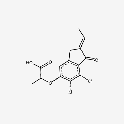 C/C=C1\Cc2cc(OC(C)C(=O)O)c(Cl)c(Cl)c2C1=O